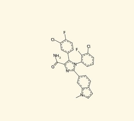 Cn1ccc2ccc(-c3nc(C(N)=O)c(-c4ccc(F)c(Cl)c4)n3-c3cccc(Cl)c3F)cc21